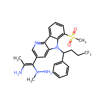 C/C(N)=C(\c1cnc2c3cccc(S(C)(=O)=O)c3n(C(CCC(F)(F)F)c3ccccc3)c2c1)N(C)N